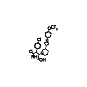 NC(=O)C(c1ccc(Cl)cc1)C(CO)N1CCCC(C2CN(c3ccc(OC(F)(F)F)cc3)C2)C1